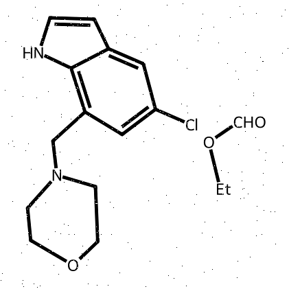 CCOC=O.Clc1cc(CN2CCOCC2)c2[nH]ccc2c1